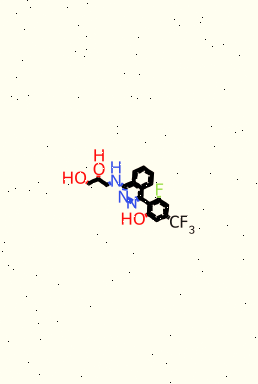 OCC(O)CNc1nnc(-c2c(O)cc(C(F)(F)F)cc2F)c2ccccc12